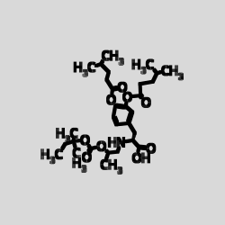 CCC(C)(C)OC(=O)OC(C)CN[C@@H](Cc1ccc(OC(=O)CCC(C)C)c(OC(=O)CCC(C)C)c1)C(=O)O